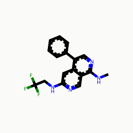 CNc1ncc(-c2ccccc2)c2cc(NCC(F)(F)F)ncc12